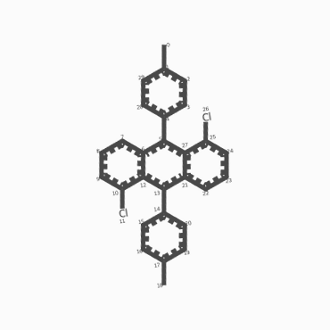 Cc1ccc(-c2c3cccc(Cl)c3c(-c3ccc(C)cc3)c3cccc(Cl)c23)cc1